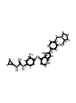 O=C(Nc1ccc(Oc2ccnc3cc(-c4ccc(CN5CCCC5O)cn4)sc23)c(F)c1)NC1CC1